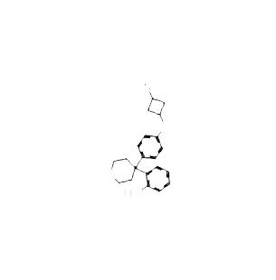 NC1CC(Oc2ccc(C3(c4ccccc4O)CCOCC3)cc2)C1